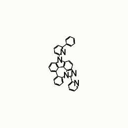 c1ccc(-c2cccc(-n3c4cccc5c6ccccc6n6c(-c7ccccn7)nc7ccc3c(c54)c76)n2)cc1